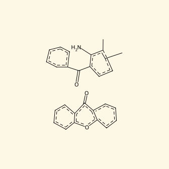 Cc1ccc(C(=O)c2ccccc2)c(N)c1C.O=c1c2ccccc2oc2ccccc12